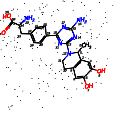 CC1c2cc(O)c(O)cc2CCN1c1nc(N)nc(-c2ccc(C[C@H](N)C(=O)O)cc2)n1